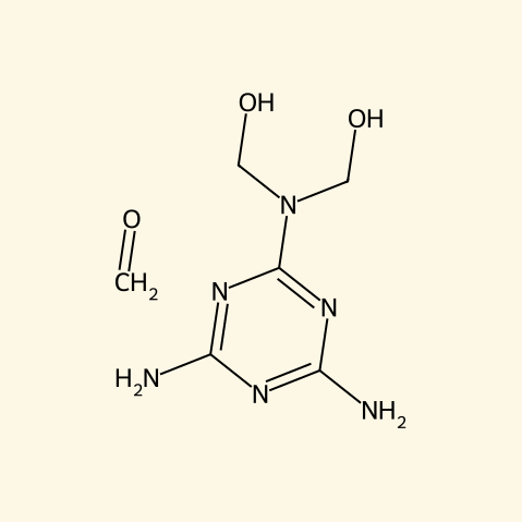 C=O.Nc1nc(N)nc(N(CO)CO)n1